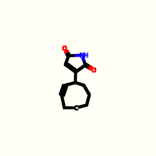 O=C1C=C(C2C#CCCCCC2)C(=O)N1